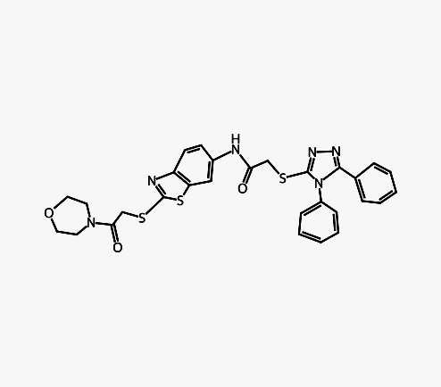 O=C(CSc1nnc(-c2ccccc2)n1-c1ccccc1)Nc1ccc2nc(SCC(=O)N3CCOCC3)sc2c1